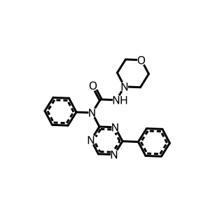 O=C(NN1CCOCC1)N(c1ccccc1)c1ncnc(-c2ccccc2)n1